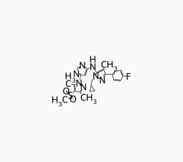 Cc1nn(-c2cc(Nc3c(C)c(-c4ccc(F)cc4)nn3CC3CC3)ncn2)c(C)c1S(C)(=O)=O